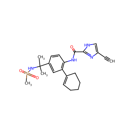 C#Cc1c[nH]c(C(=O)Nc2ccc(C(C)(C)NS(C)(=O)=O)cc2C2=CCCCC2)n1